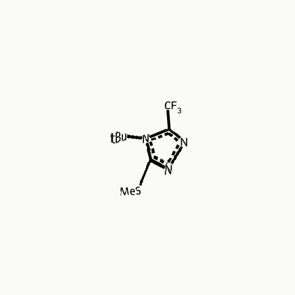 CSc1nnc(C(F)(F)F)n1C(C)(C)C